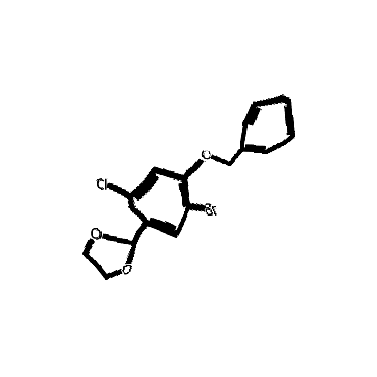 Clc1cc(OCc2ccccc2)c(Br)cc1C1OCCO1